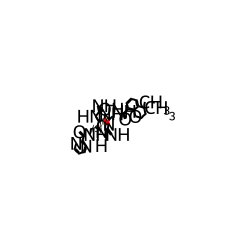 CC1(C)CCOc2c(C(=O)NC3CN4C(=N)N[C@@H](CNC(=O)c5ncccn5)C5NC(=N)NC54[C@@H]3O)cccc21